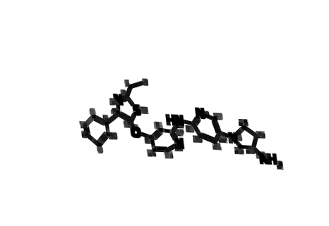 CCc1nc(-c2ccccc2)c(Oc2ccnc(Nc3ccc(N4CCC(N)C4)cn3)c2)s1